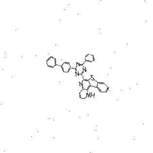 C1=Cc2nc(-c3nc(-c4ccccc4)nc(-c4ccc(-c5ccccc5)cc4)n3)c3sc4ccccc4c3c2NC1